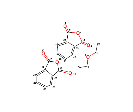 CCOCC.O=C1OC(=O)c2ccccc21.O=C1OC(=O)c2ccccc21